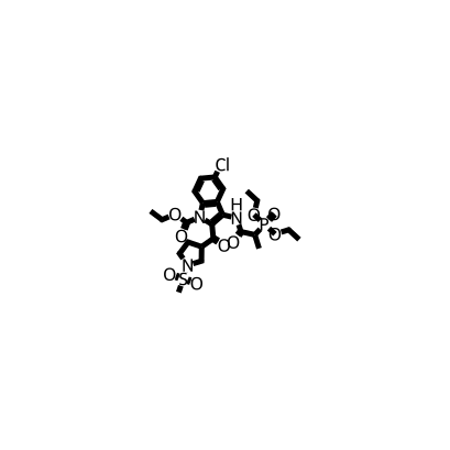 CCOC(=O)n1c(C(=O)C2CCN(S(C)(=O)=O)C2)c(NC(=O)C(C)P(=O)(OCC)OCC)c2cc(Cl)ccc21